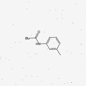 CCC(C)C(=O)Nc1cccc(C)c1